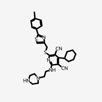 Cc1ccc(-c2nc(CSc3nc(NCCN4CCNCC4)c(C#N)c(C4CCCCC4)c3C#N)cs2)cc1